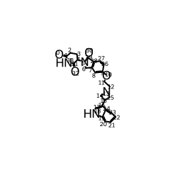 O=C1CCC(N2Cc3cc(OCCN4CC(c5c[nH]c6ccccc56)C4)ccc3C2=O)C(=O)N1